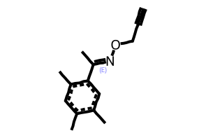 C#CCO/N=C(\C)c1cc(C)c(C)cc1C